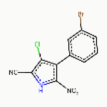 N#Cc1[nH]c([N+](=O)[O-])c(-c2cccc(Br)c2)c1Cl